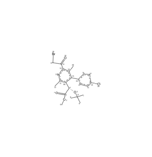 COC(=O)[C@@H](OC(C)(C)C)c1c(C)nc(C(=O)CBr)c(C)c1-c1ccc(Cl)cc1